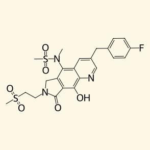 CN(c1c2c(c(O)c3ncc(Cc4ccc(F)cc4)cc13)C(=O)N(CCS(C)(=O)=O)C2)S(C)(=O)=O